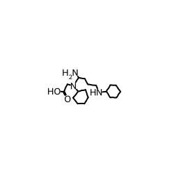 NC(CCCNC1CCCCC1)N(CC(=O)O)C1CCCCC1